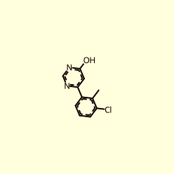 Cc1c(Cl)cccc1-c1cc(O)ncn1